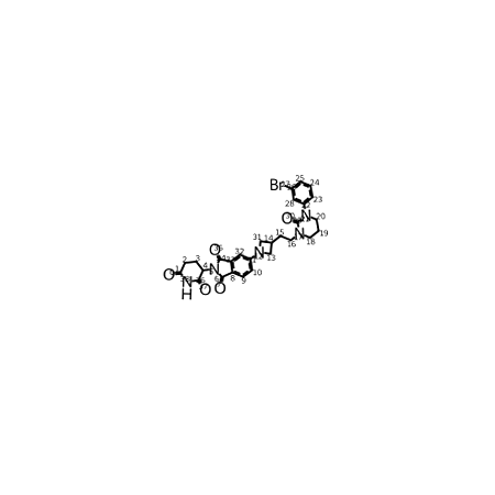 O=C1CCC(N2C(=O)c3ccc(N4CC(CCN5CCCN(c6cccc(Br)c6)C5=O)C4)cc3C2=O)C(=O)N1